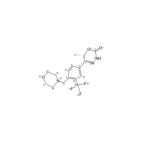 C[C@@H]1OC(=O)NN=C1c1ccc(CN2CCOCC2)c(C(F)(F)F)c1